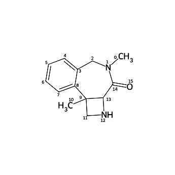 CN1Cc2ccccc2C2(C)CNC2C1=O